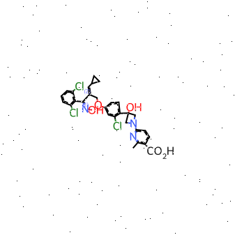 Cc1nc(N2CC(O)(c3ccc(OCC(=C\C4CC4)/C(=N\O)c4c(Cl)cccc4Cl)cc3Cl)C2)ccc1C(=O)O